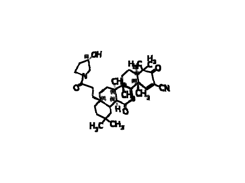 CC1(C)CC[C@]2(CCC(=O)N3CC[C@H](O)C3)CC[C@]3(C)[C@@H](C(=O)C=C4[C@@]5(C)C=C(C#N)C(=O)C(C)(C)[C@@H]5CC[C@]43C)C2C1